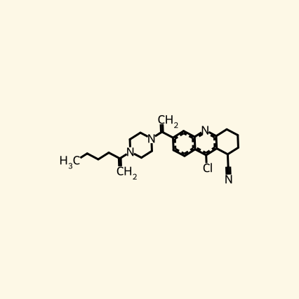 C=C(CCCC)N1CCN(C(=C)c2ccc3c(Cl)c4c(nc3c2)CCCC4C#N)CC1